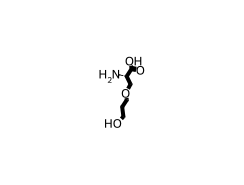 N[C@@H](COCCCO)C(=O)O